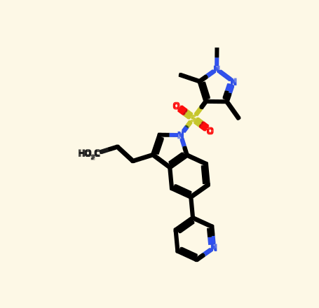 Cc1nn(C)c(C)c1S(=O)(=O)n1cc(CCC(=O)O)c2cc(-c3cccnc3)ccc21